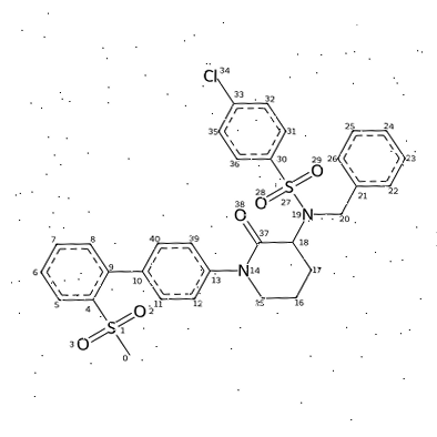 CS(=O)(=O)c1ccccc1-c1ccc(N2CCCC(N(Cc3ccccc3)S(=O)(=O)c3ccc(Cl)cc3)C2=O)cc1